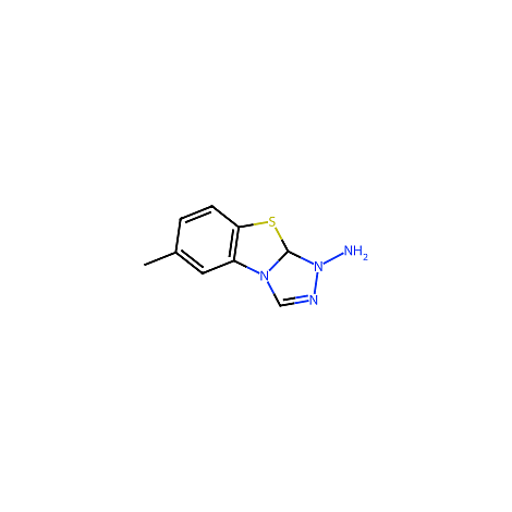 Cc1ccc2c(c1)N1C=NN(N)C1S2